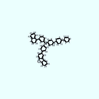 c1ccc(-c2ccc(-c3ccc(N(c4ccc(-c5ccc6oc7ccccc7c6c5)cc4)c4cccc(-c5cccc6ccccc56)c4)cc3)cc2)cc1